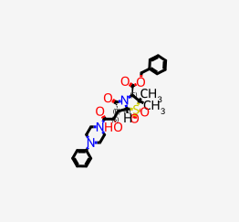 CC1(C)[C@H](C(=O)OCc2ccccc2)N2C(=O)[C@@H]([C@H](O)C(=O)N3CCN(c4ccccc4)CC3)[C@H]2S1(=O)=O